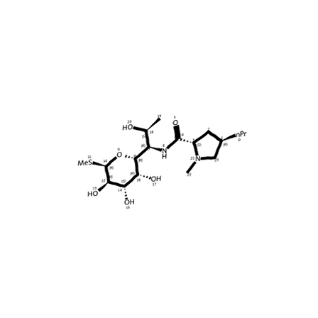 CCC[C@@H]1C[C@@H](C(=O)N[C@@H]([C@H]2O[C@H](SC)[C@H](O)[C@@H](O)[C@H]2O)[C@H](C)O)N(C)C1